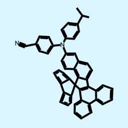 CC(C)c1ccc(N(c2ccc(C#N)cc2)c2ccc3c4c(ccc3c2)-c2c(c3ccccc3c3ccccc23)C42c3ccccc3-c3ccccc32)cc1